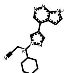 N#CC[C@H](C1CCCCC1)n1cc(-c2cnnc3[nH]ccc23)cn1